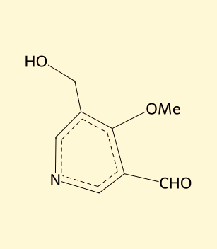 COc1c(C=O)cncc1CO